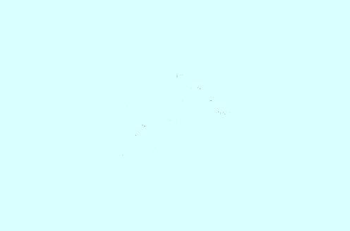 CNCc1cc(-c2cc3c(cc2F)c(=O)c(C(=O)O)cn3C2CC2)cc(C(C)C)n1